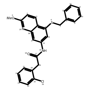 COc1ccc2c(SCc3ccccc3)cc(NC(=O)Cc3ccccc3Cl)cc2n1